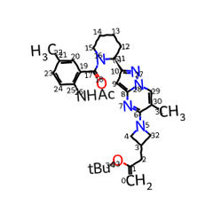 C=C(CC1CN(c2nc3cc([C@@H]4CCCCN4C(=O)c4cc(C)ccc4NC(C)=O)nn3cc2C)C1)OC(C)(C)C